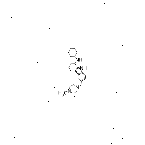 CN1CCN(Cc2ccc3[nH]c4c(c3c2)CCCC4NC2CCCCC2)CC1